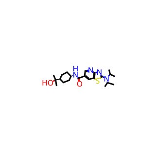 CC(C)N(c1nc2ncc(C(=O)N[C@H]3CC[C@H](C(C)(C)O)CC3)cc2s1)C(C)C